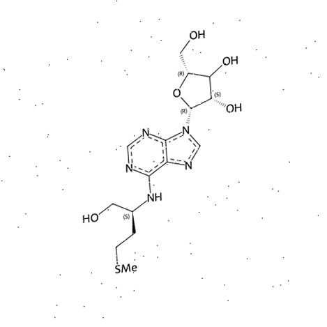 CSCC[C@@H](CO)Nc1ncnc2c1ncn2[C@@H]1O[C@H](CO)C(O)[C@@H]1O